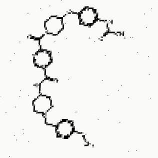 COc1ccc(CN2CCC(NC(=O)c3ccc(C(=O)N4CCC(Oc5ccc(NC(C)=O)cc5)CC4)nc3)CC2)cc1